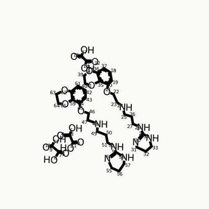 O=C(O)C(=O)O.O=C(O)C(=O)O.O=C(O)C(=O)O.c1cc(OCCNCCCNC2=NCCCN2)c2c(c1)OCCO2.c1cc(OCCNCCCNC2=NCCCN2)c2c(c1)OCCO2